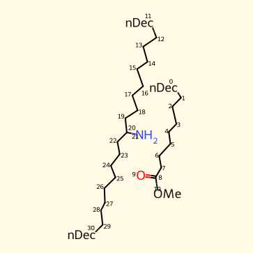 CCCCCCCCCCCCCCCCCC(=O)OC.CCCCCCCCCCCCCCCCCCC(N)CCCCCCCCCCCCCCCCCC